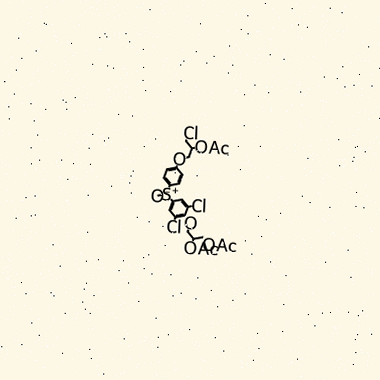 CC(=O)OCC(COc1c(Cl)cc([S+]([O-])c2ccc(OCC(CCl)OC(C)=O)cc2)cc1Cl)OC(C)=O